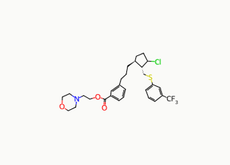 O=C(OCCN1CCOCC1)c1cccc(CCC[C@H]2CCC(Cl)[C@@H]2CSc2cccc(C(F)(F)F)c2)c1